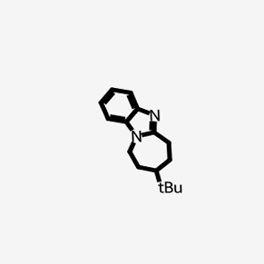 CC(C)(C)C1CCc2nc3ccccc3n2CC1